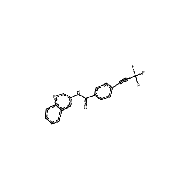 O=C(Nc1cnc2ccccc2c1)c1ccc(C#CC(F)(F)F)cc1